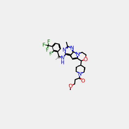 COCCC(=O)N1CCC(C2OCCn3c2cc2c(N[C@H](C)c4cccc(C(F)(F)F)c4F)nc(C)nc23)CC1